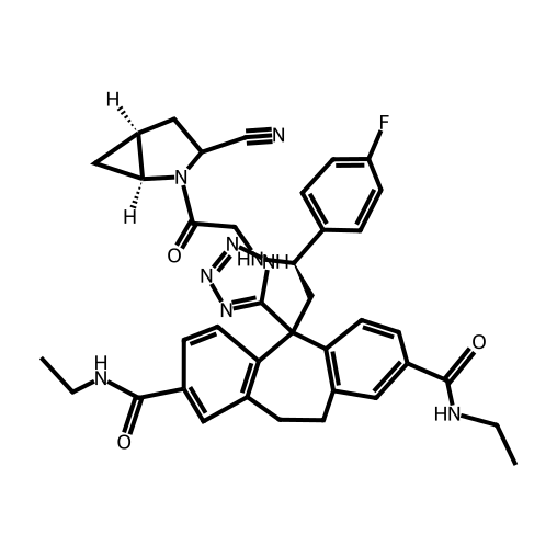 CCNC(=O)c1ccc2c(c1)CCc1cc(C(=O)NCC)ccc1C2(C[C@@H](NCC(=O)N1C(C#N)C[C@@H]2C[C@@H]21)c1ccc(F)cc1)c1nnn[nH]1